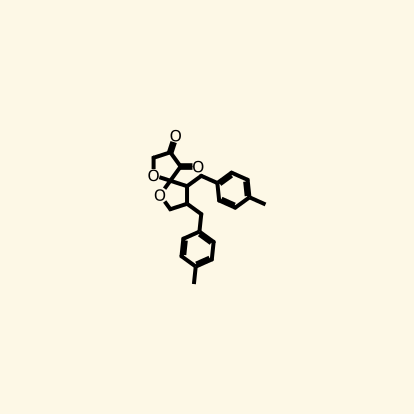 Cc1ccc(CC2COC3(OCC(=O)C3=O)C2Cc2ccc(C)cc2)cc1